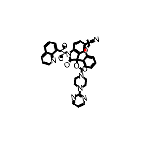 CCOc1ccccc1C1(OC(=O)N2CCN(c3ncccn3)CC2)C(=O)N(S(=O)(=O)c2cccc3cccnc23)c2ccc(C#N)cc21